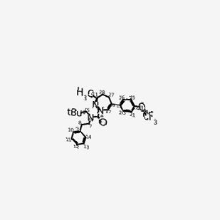 CC1=NN(C(=O)N(CCc2ccccc2)CC(C)(C)C)C=C(c2ccc(OC(F)(F)F)cc2)CC1